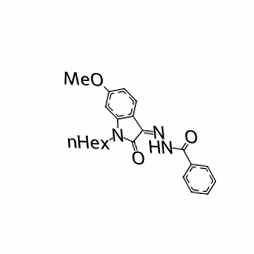 CCCCCCN1C(=O)C(=NNC(=O)c2ccccc2)c2ccc(OC)cc21